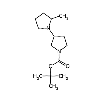 CC1CCCN1C1CCN(C(=O)OC(C)(C)C)C1